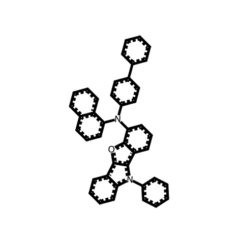 c1ccc(-c2ccc(N(c3cccc4ccccc34)c3cccc4c3oc3c5ccccc5n(-c5ccccc5)c43)cc2)cc1